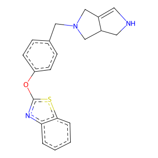 C1=C2CN(Cc3ccc(Oc4nc5ccccc5s4)cc3)CC2CN1